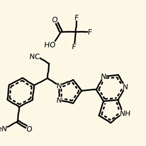 CNC(=O)c1cccc(C(CC#N)n2cc(-c3ncnc4[nH]ccc34)cn2)c1.O=C(O)C(F)(F)F